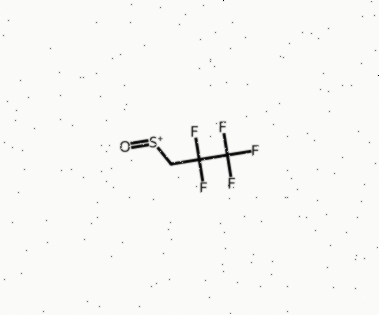 O=[S+]CC(F)(F)C(F)(F)F